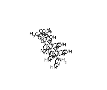 C[C@@H](O)[C@H](NC(=O)[C@@H](NC(=O)[C@H](Cc1c[nH]cn1)NC(=O)[C@H](Cc1c[nH]cn1)NC(=O)[C@H](Cc1c[nH]cn1)NC(=O)[C@H](Cc1c[nH]cn1)NC(=O)[C@@H](N)Cc1c[nH]cn1)[C@@H](C)O)C(=O)O